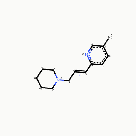 CCc1ccc(/C=C/CN2CCCCC2)nc1